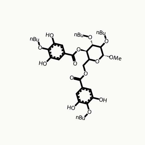 CCCCOc1c(O)cc(C(=O)OCC2O[C@@H](OC)C(OCCCC)[C@@H](OCCCC)[C@@H]2OC(=O)c2cc(O)c(OCCCC)c(O)c2)cc1O